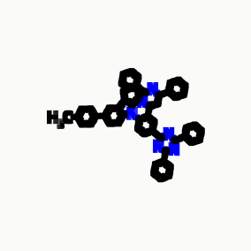 Cc1ccc(-c2ccc3c(c2)c2ccccc2n3-c2ccc(-c3nc(-c4ccccc4)nc(-c4ccccc4)n3)cc2-c2cc(-c3ccccc3)nc(-c3ccccc3)n2)cc1